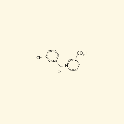 O=C(O)c1ccc[n+](Cc2cccc(Cl)c2)c1.[F-]